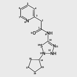 O=C(Cc1ccccn1)NC1=NNN(C2CCCC2)S1